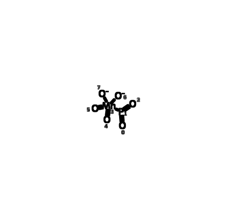 O=[P](=O)[Mn](=[O])(=[O])([O-])[O-]